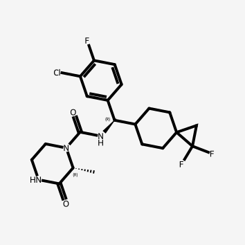 C[C@@H]1C(=O)NCCN1C(=O)N[C@@H](c1ccc(F)c(Cl)c1)C1CCC2(CC1)CC2(F)F